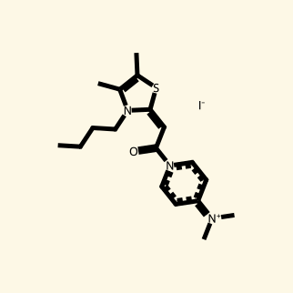 CCCCN1C(=CC(=O)n2ccc(=[N+](C)C)cc2)SC(C)=C1C.[I-]